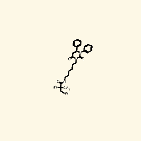 CC(C)CC(C)(C(=O)OCCCCCCn1c(=O)cc(-c2ccccc2)n(-c2ccccc2)c1=S)C(C)C